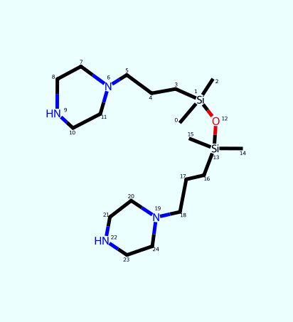 C[Si](C)(CCCN1CCNCC1)O[Si](C)(C)CCCN1CCNCC1